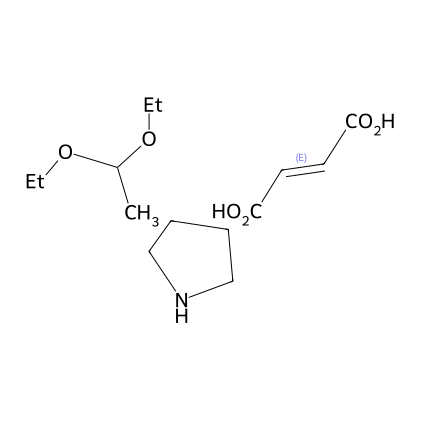 C1CCNC1.CCOC(C)OCC.O=C(O)/C=C/C(=O)O